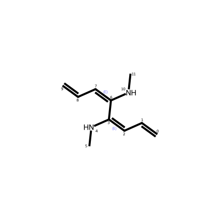 C=C/C=C(NC)\C(=C/C=C)NC